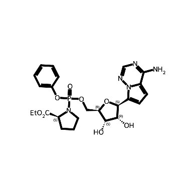 CCOC(=O)[C@@H]1CCCN1P(=O)(OC[C@H]1O[C@@H](c2ccc3c(N)ncnn23)[C@H](O)[C@@H]1O)Oc1ccccc1